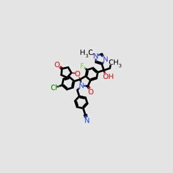 CCC(O)(c1cc(F)c2c(c1)C(=O)N(Cc1ccc(C#N)cc1)[C@@]2(O[C@H]1CCC(=O)C1)c1ccc(Cl)cc1)c1cn(C)cn1